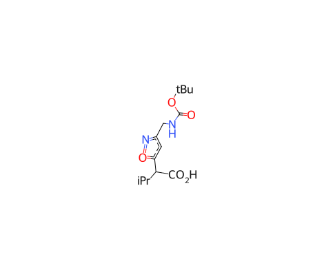 CC(C)C(C(=O)O)c1cc(CNC(=O)OC(C)(C)C)no1